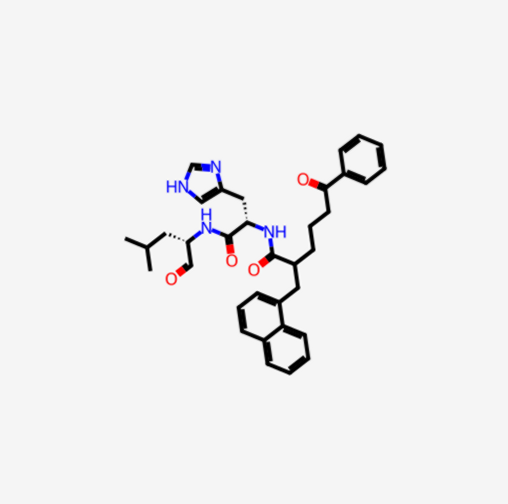 CC(C)C[C@@H](C=O)NC(=O)[C@H](Cc1c[nH]cn1)NC(=O)C(CCCC(=O)c1ccccc1)Cc1cccc2ccccc12